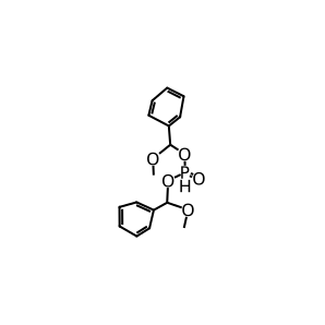 COC(O[PH](=O)OC(OC)c1ccccc1)c1ccccc1